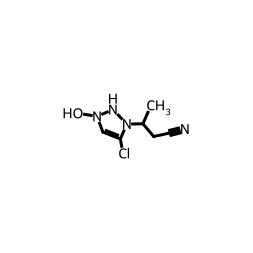 CC(CC#N)N1NN(O)C=C1Cl